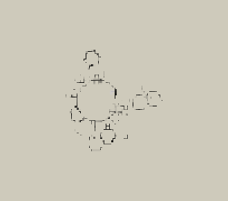 CO[C@]1(CN2CCN3CCOC[C@@H]3C2)/C=C/C[C@@H]2C[C@]2(Cc2ccccc2)S(=O)(=O)NC(=O)c2ccc3c(c2)N(C[C@@H]2CC[C@H]21)C[C@@]1(CCCc2cc(Cl)ccc21)CO3